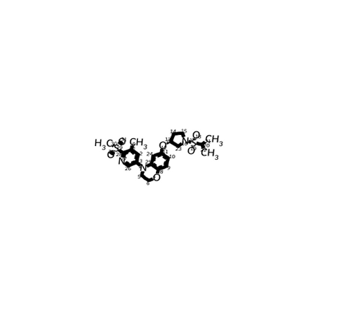 Cc1cc(N2CCOc3ccc(O[C@H]4CCN(S(=O)(=O)C(C)C)C4)cc32)cnc1S(C)(=O)=O